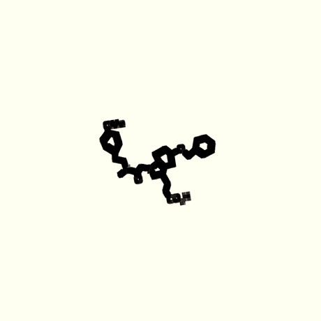 COc1ccc(CCN(C)C(=O)Cn2cc(CCC(=O)O)c3cc(OCc4ccccc4)ccc32)cc1